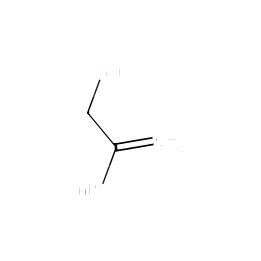 C=C([CH]CC)CCCC